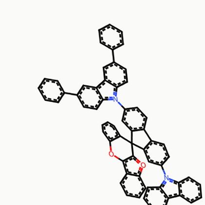 c1ccc(-c2ccc3c(c2)c2cc(-c4ccccc4)ccc2n3-c2ccc3c(c2)C2(c4ccccc4Oc4c2oc2ccccc42)c2cc(-n4c5ccccc5c5ccccc54)ccc2-3)cc1